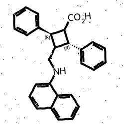 O=C(O)C1[C@H](c2ccccc2)C(CNc2cccc3ccccc23)[C@H]1c1ccccc1